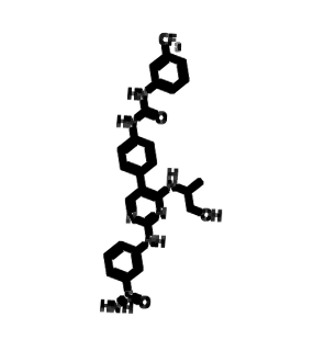 CC(CO)Nc1nc(Nc2cccc([SH](=N)=O)c2)ncc1-c1ccc(NC(=O)Nc2cccc(C(F)(F)F)c2)cc1